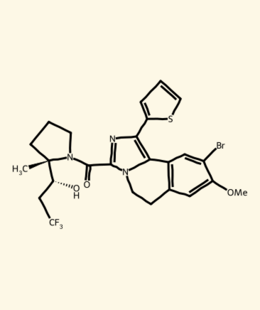 COc1cc2c(cc1Br)-c1c(-c3cccs3)nc(C(=O)N3CCC[C@@]3(C)[C@H](O)CC(F)(F)F)n1CC2